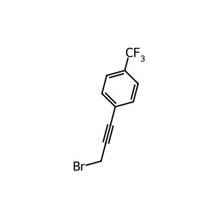 FC(F)(F)c1ccc(C#CCBr)cc1